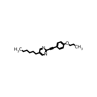 CCCCCCc1cnc(C#Cc2ccc(OCCC)cc2)nc1